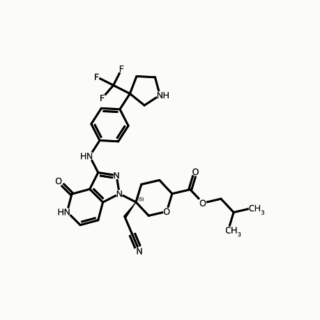 CC(C)COC(=O)C1CC[C@@](CC#N)(n2nc(Nc3ccc(C4(C(F)(F)F)CCNC4)cc3)c3c(=O)[nH]ccc32)CO1